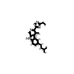 CCc1noc(-c2ncc3[nH]c4ccc(CCC(C)C)cc4c3c2C)n1